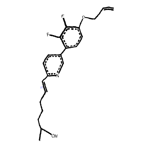 C=CCOc1ccc(-c2ccc(/C=C/CCCC(C)O)nc2)c(F)c1F